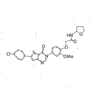 COc1cc(-n2cnc3cc(-c4ccc(Cl)cc4)sc3c2=O)ccc1OCC(=O)NC1CCCO1